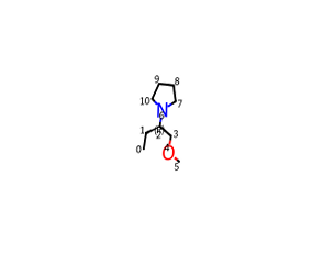 CC[C@H](COC)N1CCCC1